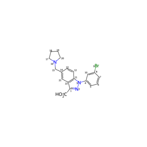 O=C(O)c1nn(-c2cccc(Br)c2)c2ccc(CN3CCCC3)cc12